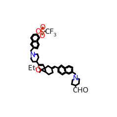 CCO/C(=C\C12C/C(=C/c3ccc4cc(CN5CCC(C=O)CC5)ccc4c3)CCC1C2(C)C)C1CCN(Cc2ccc3cc(OS(=O)(=O)C(F)(F)F)ccc3c2)CC1